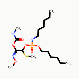 CCCCCCNP(=O)(OCCCCCC)OC(SC)/C(=N\OC)OC(=O)NC